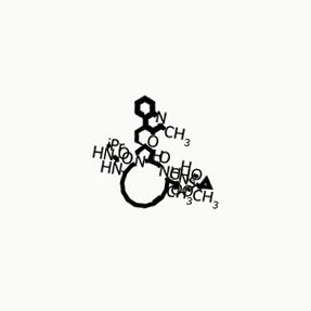 Cc1nc2ccccc2c2c1O[C@]1(CC2)C[C@H]2C(=O)N[C@@](C)(C(=O)NS(=O)(=O)C3(C)CC3)[C@@H](C)/C=C\CCCCC[C@H](NC(=O)NC(C)C)C(=O)N2C1